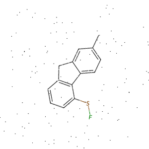 Cc1ccc2c(c1)Cc1cccc(SF)c1-2